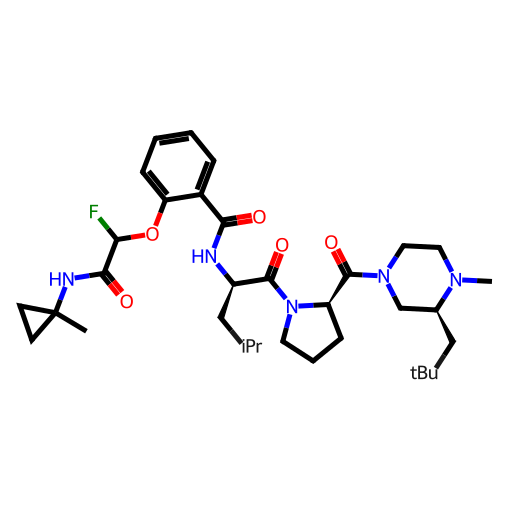 CC(C)C[C@@H](NC(=O)c1ccccc1OC(F)C(=O)NC1(C)CC1)C(=O)N1CCC[C@@H]1C(=O)N1CCN(C)[C@@H](CC(C)(C)C)C1